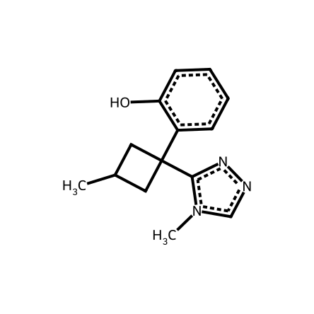 CC1CC(c2ccccc2O)(c2nncn2C)C1